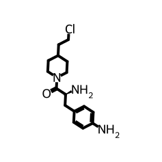 Nc1ccc(C[C@H](N)C(=O)N2CCC(CCCl)CC2)cc1